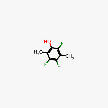 Cc1c(O)c(F)c(C)c(F)c1F